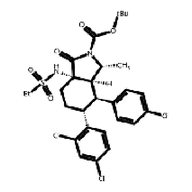 CCS(=O)(=O)N[C@@]12CC[C@@H](c3ccc(Cl)cc3Cl)[C@H](c3ccc(Cl)cc3)[C@@H]1[C@@H](C)N(C(=O)OC(C)(C)C)C2=O